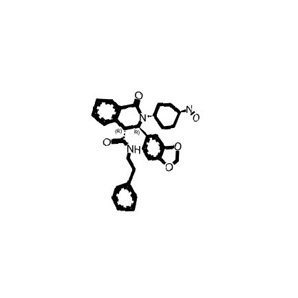 O=N[C@H]1CC[C@H](N2C(=O)c3ccccc3[C@@H](C(=O)NCCc3ccccc3)[C@@H]2c2ccc3c(c2)OCO3)CC1